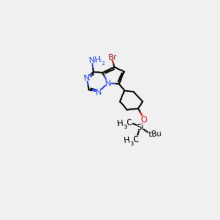 CC(C)(C)[Si](C)(C)OC1CCC(c2cc(Br)c3c(N)ncnn23)CC1